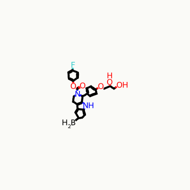 BC1C=c2c3c([nH]c2=CC1)C(c1ccc(OCC(O)CO)cc1)N(C(=O)Oc1ccc(F)cc1)CC3